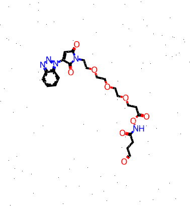 O=CCCC(=O)NOC(=O)CCOCCOCCOCCN1C(=O)C=C(n2nnc3ccccc32)C1=O